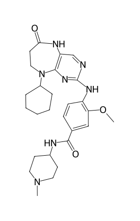 COc1cc(C(=O)NC2CCN(C)CC2)ccc1Nc1ncc2c(n1)N(C1CCCCC1)CCC(=O)N2